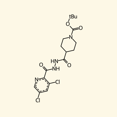 CC(C)(C)OC(=O)N1CCC(C(=O)NNC(=O)c2ncc(Cl)cc2Cl)CC1